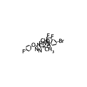 CCn1c(Oc2ccc(F)cc2)nnc1[C@@H](C)NS(=O)(=O)c1ccc(Br)cc1C(F)(F)F